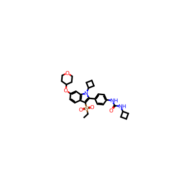 CCS(=O)(=O)c1c(-c2ccc(NC(=O)NC3CCC3)cc2)n(C2CCC2)c2cc(OC3CCOCC3)ccc12